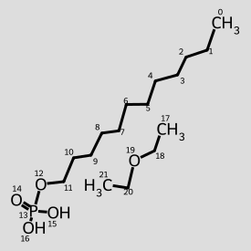 CCCCCCCCCCCCOP(=O)(O)O.CCOCC